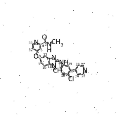 CNC(=O)c1cc(Oc2ccc3c(c2)nc(Nc2ccc(Cl)c(-c4ccncc4)c2)n3C)ccn1